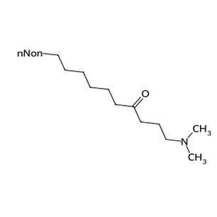 CCCCCCCCCCCCCCCC(=O)CCCN(C)C